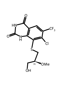 CO[C@@H](CO)CSc1c(Cl)c(C(F)(F)F)cc2c(=O)[nH]c(=O)[nH]c12